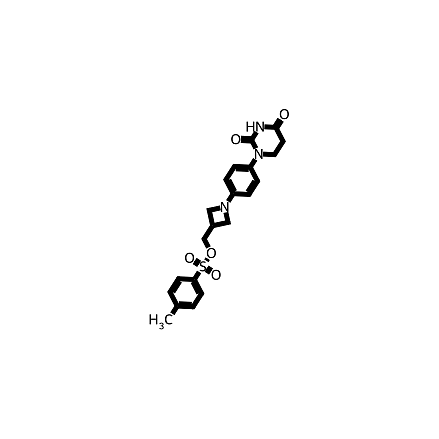 Cc1ccc(S(=O)(=O)OCC2CN(c3ccc(N4CCC(=O)NC4=O)cc3)C2)cc1